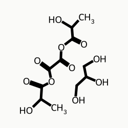 CC(O)C(=O)OC(=O)C(=O)OC(=O)C(C)O.OCC(O)CO